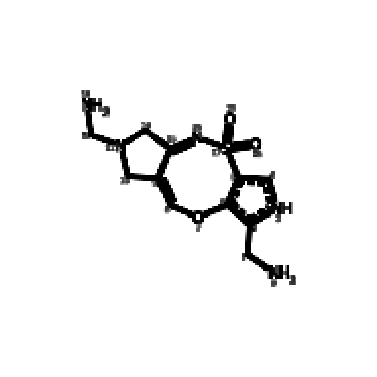 NCc1[nH]cc2c1OC=C1CN(CN)CC1=NS2(=O)=O